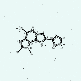 [CH2]c1nc2c(N)nc3cc(-c4cc[nH]n4)sc3c2n1C